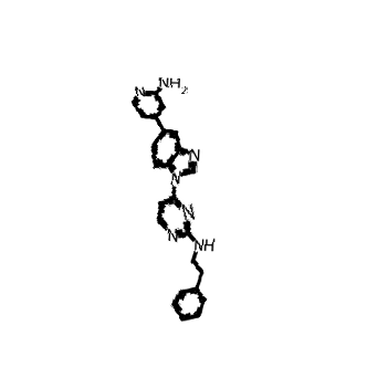 Nc1cc(-c2ccc3c(c2)ncn3-c2ccnc(NCCc3ccccc3)n2)ccn1